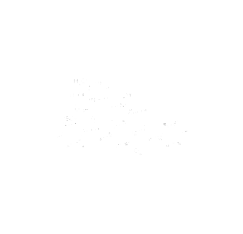 CC(C)N(CC1COC(C)(C)N1C(=O)OC(C)(C)C)C(=O)c1oc(COC2CCCCO2)cc(=O)c1OCc1ccccc1